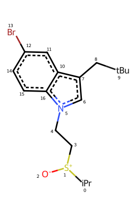 CC(C)[S+]([O-])CCn1cc(CC(C)(C)C)c2cc(Br)ccc21